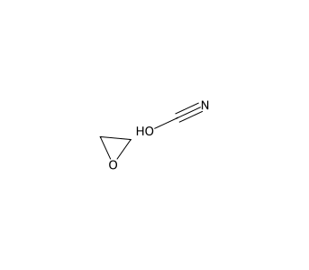 C1CO1.N#CO